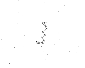 CNCCCCCC1CO1